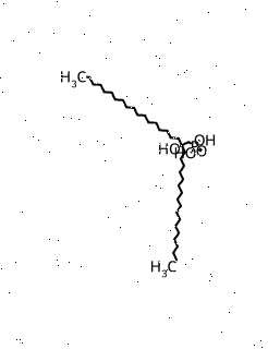 CCCCCCCCCCCCCCCCCCC(O)(CCCCCCCCCCCCCCCCCC)CP(=O)(O)O